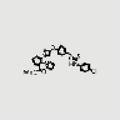 COC(=O)c1cccc(N2CC(Oc3ccc(COC(=S)Nc4ccc(Cl)cc4)cc3)C2)c1-n1cccc1